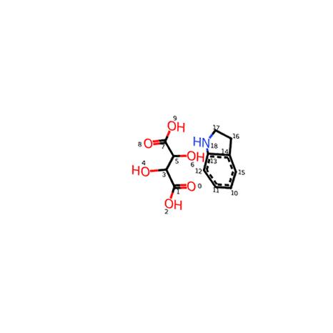 O=C(O)C(O)C(O)C(=O)O.c1ccc2c(c1)CCN2